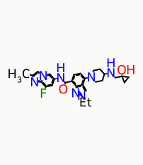 CCn1cc2c(N3CCC(NCC4(O)CC4)CC3)ccc(C(=O)Nc3cc(F)c4nc(C)cn4c3)c2n1